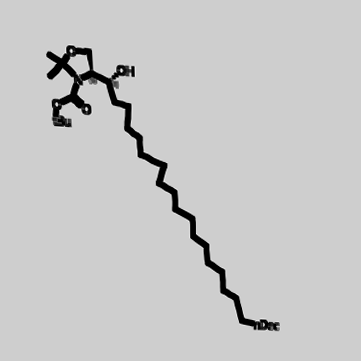 CCCCCCCCCCCCCCCCCCCCCCCCCCC[C@@H](O)[C@@H]1COC(C)(C)N1C(=O)OC(C)(C)C